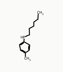 CCCCCCPc1ccc(C)cc1